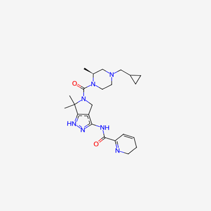 C[C@H]1CN(CC2CC2)CCN1C(=O)N1Cc2c(NC(=O)C3=NCCC=C3)n[nH]c2C1(C)C